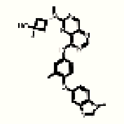 Cc1cc(Nc2ncnc3cnc(N(C)[C@H]4C[C@@](C)(O)C4)nc23)ccc1Oc1ccc2c(c1)ncn2C